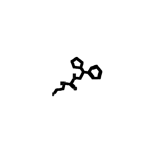 O=C(NCCF)NCC(c1ccccc1)C1CCCC1